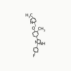 Cc1ccc(COc2ccc(-c3c[nH]c(-c4ccc(F)cc4)n3)cc2C)nc1